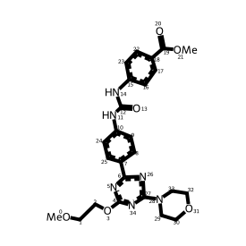 COCCOc1nc(-c2ccc(NC(=O)Nc3ccc(C(=O)OC)cc3)cc2)nc(N2CCOCC2)n1